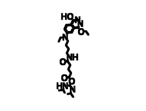 CCOc1nnc(O)c2ccc(N(CC)CCCCNC(=O)CCCC(=O)O/C(=N/C(C)C)NC(C)C)cc12